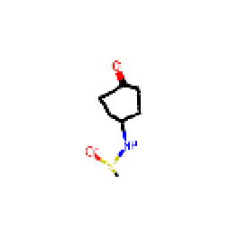 C[S+]([O-])NC1CCC(=O)CC1